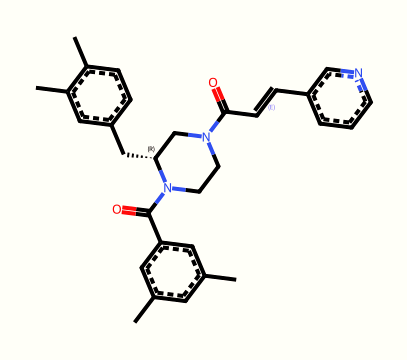 Cc1cc(C)cc(C(=O)N2CCN(C(=O)/C=C/c3cccnc3)C[C@H]2Cc2ccc(C)c(C)c2)c1